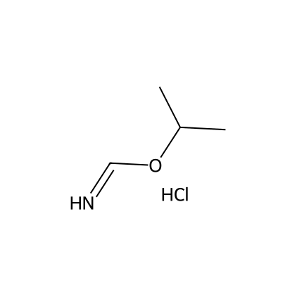 CC(C)OC=N.Cl